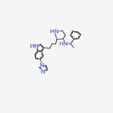 CC(N[C@@H]1CCNCC1CCCc1c[nH]c2ccc(-n3ccnc3)cc12)c1ccccc1